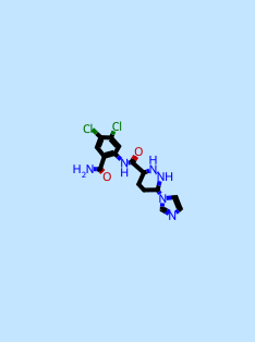 NC(=O)c1cc(Cl)c(Cl)cc1NC(=O)C1CCC(n2ccnc2)NN1